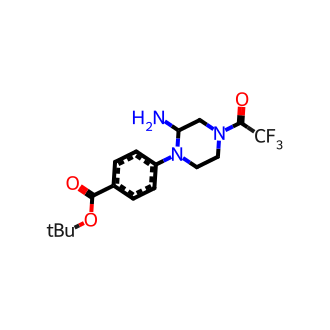 CC(C)(C)OC(=O)c1ccc(N2CCN(C(=O)C(F)(F)F)CC2N)cc1